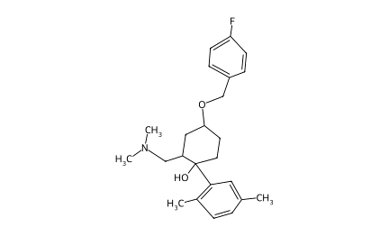 Cc1ccc(C)c(C2(O)CCC(OCc3ccc(F)cc3)CC2CN(C)C)c1